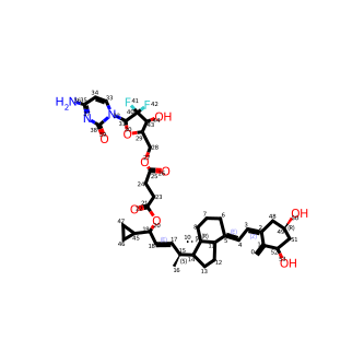 C=C1/C(=C\C=C2/CCC[C@@]3(C)C2CCC3[C@@H](C)/C=C/C(OC(=O)CCC(=O)OCC2OC(n3ccc(N)nc3=O)C(F)(F)C2O)C2CC2)C[C@@H](O)CC1O